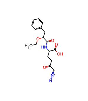 CCOC(Cc1ccccc1)C(=O)NC(CCC(=O)C=[N+]=[N-])C(=O)O